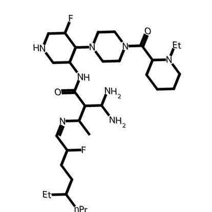 CCCC(CC)CCC(F)/C=N\C(C)C(C(=O)NC1CNCC(F)C1N1CCN(C(=O)C2CCCCN2CC)CC1)C(N)N